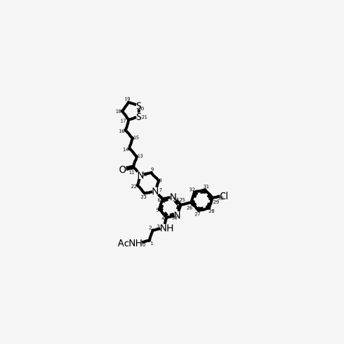 CC(=O)NCCNc1cc(N2CCN(C(=O)CCCCC3CCSS3)CC2)nc(-c2ccc(Cl)cc2)n1